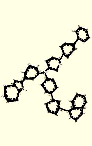 c1ccc(-c2ccc(-c3ccc(N(c4ccc(-c5cccc(-c6cccc7ccccc67)c5)cc4)c4cccc(-c5cc6ccccc6o5)c4)cc3)cc2)cc1